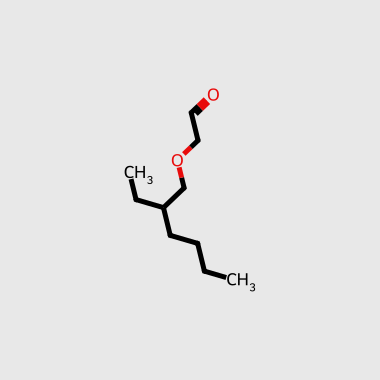 CCCCC(CC)COCC=O